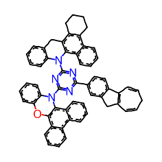 C1=CC2=C(C=CC1)c1ccc(-c3nc(N4c5ccccc5Cc5c6c(c7ccccc7c54)CCCC6)nc(N4c5ccccc5Oc5c4c4ccccc4c4ccccc54)n3)cc1C2